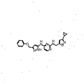 c1ccc(OCc2cc(Nc3ccnc(NCc4cc(C5CC5)no4)n3)[nH]n2)cc1